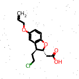 C=CCOc1ccc2c(c1)[C@H](CCCl)[C@@H](CC(=O)O)O2